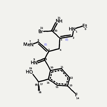 CCN/C=C(/C/C(=C/NC)C(=N)c1ccc(F)cc1[C@@H](C)O)C(=N)Br